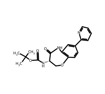 CC(C)(C)OC(=O)N[C@H]1COc2ccc(-c3ccccn3)cc2NC1=O